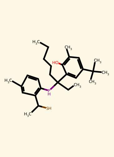 CCCCCC(CC)(Pc1ccc(C)cc1C(C)S)c1cc(C(C)(C)C)cc(C)c1O